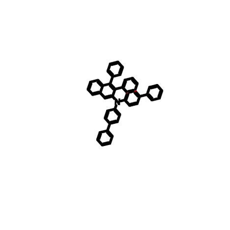 c1ccc(-c2ccc(N(c3ccc(-c4ccccc4)cc3)c3cc4ccccc4c(-c4ccccc4)c3-c3ccccc3)cc2)cc1